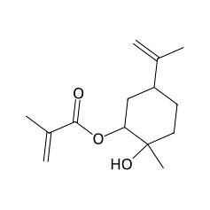 C=C(C)C(=O)OC1CC(C(=C)C)CCC1(C)O